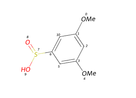 COc1cc(OC)cc(S(=O)O)c1